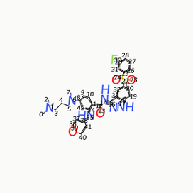 CN(C)CCCN(C)c1ccc(C(=O)Nc2n[nH]c3ccc(S(=O)(=O)c4cccc(F)c4)cc23)c(NC2=CCOC=C2)c1